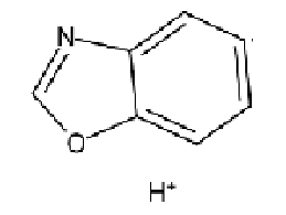 [H+].[c]1ccc2ocnc2c1